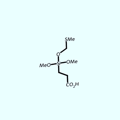 CO[Si](CCC(=O)O)(OC)OCSC